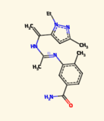 C=C(N/C(C)=N/c1cc(C(N)=O)ccc1C)c1cc(C)nn1CC